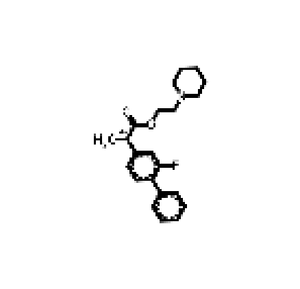 C[C@@H](C(=O)OCCN1CCCCC1)c1ccc(-c2ccccc2)c(F)c1